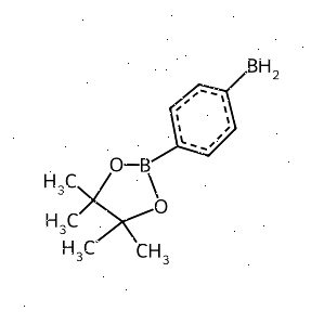 Bc1ccc(B2OC(C)(C)C(C)(C)O2)cc1